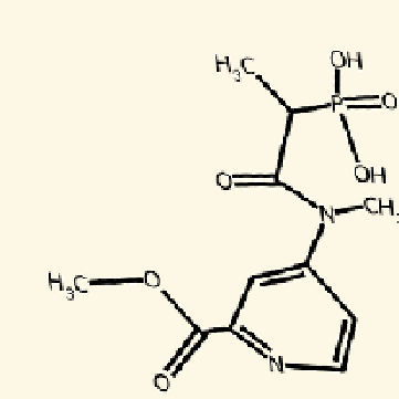 COC(=O)c1cc(N(C)C(=O)C(C)P(=O)(O)O)ccn1